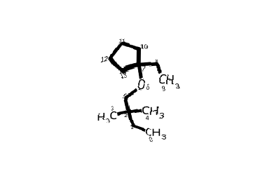 CCC(C)(C)COC1(CC)CCCC1